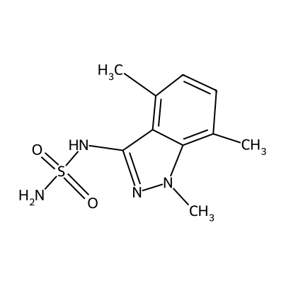 Cc1ccc(C)c2c1c(NS(N)(=O)=O)nn2C